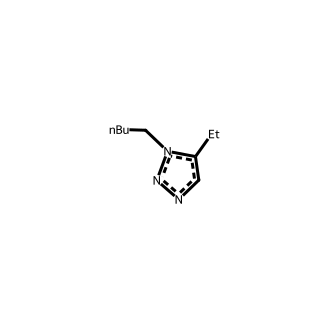 CCCCCn1nncc1CC